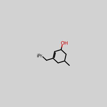 CC(C)CC1=CC(O)CC(C)C1